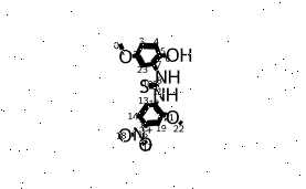 COc1ccc(O)c(NC(=S)Nc2ccc([N+](=O)[O-])cc2OC)c1